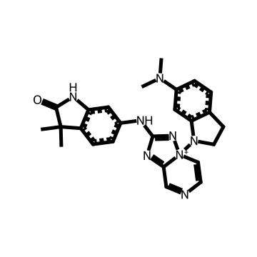 CN(C)c1ccc2c(c1)N([N+]13C=CN=CC1=NC(Nc1ccc4c(c1)NC(=O)C4(C)C)=N3)CC2